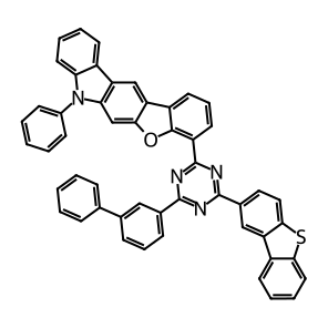 c1ccc(-c2cccc(-c3nc(-c4ccc5sc6ccccc6c5c4)nc(-c4cccc5c4oc4cc6c(cc45)c4ccccc4n6-c4ccccc4)n3)c2)cc1